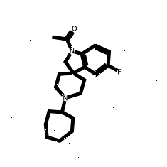 CC(=O)N1CC2(CCN(C3CCCCCC3)CC2)c2cc(F)ccc21